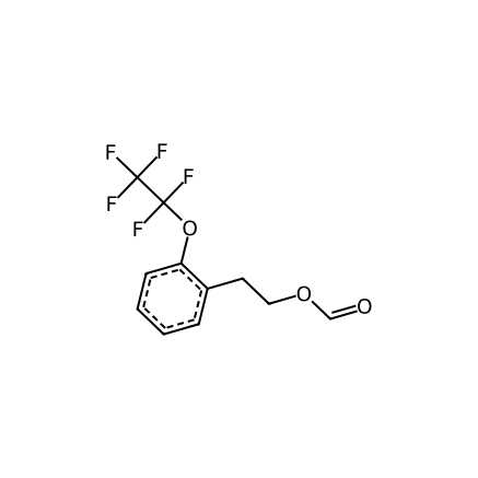 O=COCCc1ccccc1OC(F)(F)C(F)(F)F